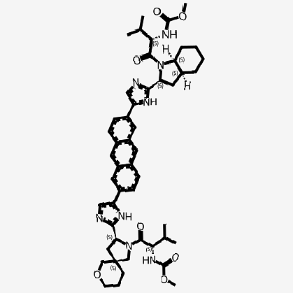 COC(=O)N[C@H](C(=O)N1C[C@]2(CCCOC2)C[C@H]1c1ncc(-c2ccc3cc4cc(-c5cnc([C@@H]6C[C@@H]7CCCC[C@@H]7N6C(=O)[C@@H](NC(=O)OC)C(C)C)[nH]5)ccc4cc3c2)[nH]1)C(C)C